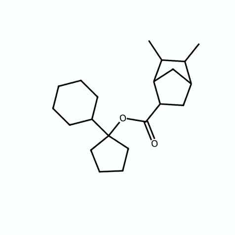 CC1C2CC(C(=O)OC3(C4CCCCC4)CCCC3)C(C2)C1C